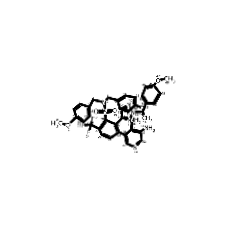 COc1ccc(CN(Cc2ccc(OC)cc2)S(=O)(=O)c2c(C(F)(F)F)ccc(-c3cncc(N)c3N)c2-c2nnn(Cc3ccc(OC)cc3)n2)cc1